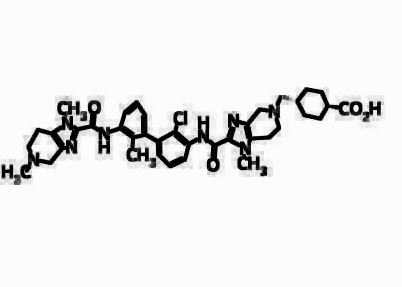 Cc1c(NC(=O)c2nc3c(n2C)CCN(C)C3)cccc1-c1cccc(NC(=O)c2nc3c(n2C)CCN(C[C@H]2CC[C@H](C(=O)O)CC2)C3)c1Cl